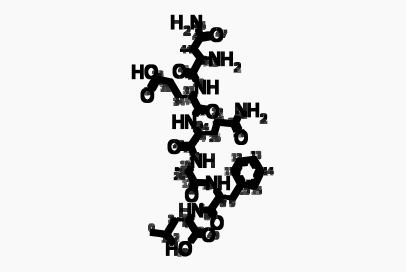 CC(C)C[C@H](NC(=O)[C@H](Cc1ccccc1)NC(=O)[C@H](C)NC(=O)[C@H](CCC(N)=O)NC(=O)[C@H](CCC(=O)O)NC(=O)[C@@H](N)CC(N)=O)C(=O)O